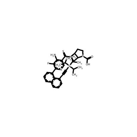 CC(C)[Si](C#Cc1cccc2cccc(-c3ncc(C(=S)N4CC5C4CCN5C(=O)O)c(N)c3F)c12)(C(C)C)C(C)C